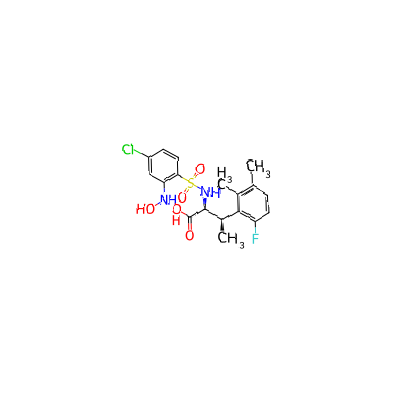 Cc1ccc(F)c([C@@H](C)[C@H](NS(=O)(=O)c2ccc(Cl)cc2NO)C(=O)O)c1C